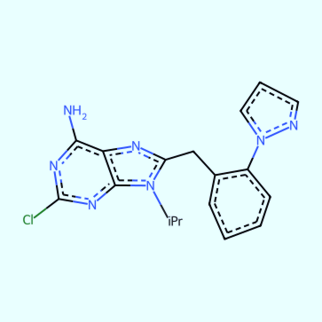 CC(C)n1c(Cc2ccccc2-n2cccn2)nc2c(N)nc(Cl)nc21